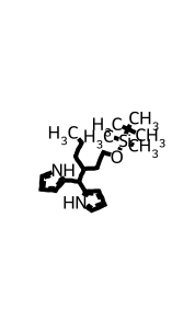 CCCC(CCO[Si](C)(C)C(C)(C)C)C(c1ccc[nH]1)c1ccc[nH]1